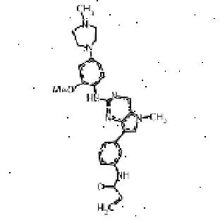 C=CC(=O)Nc1cccc(-c2cn(C)c3cnc(Nc4ccc(N5CCN(C)CC5)cc4OC)nc23)c1